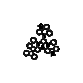 C[Si]1(C)c2ccccc2-c2c(N(c3ccccc3)c3cc4c5c(c3)N(c3ccccc3)c3c(ccc6c3-c3ccccc3[Si]6(C)C)B5c3ccc5c(c3N4c3ccccc3)-c3ccccc3C53c4ccccc4-c4ccccc43)cccc21